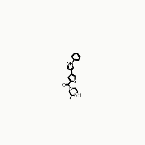 C[C@H]1CN(C(=O)c2cc(-c3cnn(-c4ccccc4)c3)cs2)CCN1